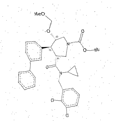 COCO[C@@H]1CN(C(=O)OC(C)(C)C)C[C@H](C(=O)N(Cc2cccc(Cl)c2Cl)C2CC2)[C@H]1c1cccc(-c2ccccc2)c1